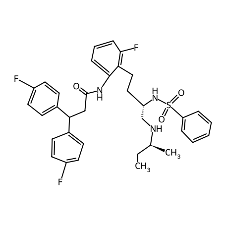 CC[C@H](C)NC[C@H](CCc1c(F)cccc1NC(=O)CC(c1ccc(F)cc1)c1ccc(F)cc1)NS(=O)(=O)c1ccccc1